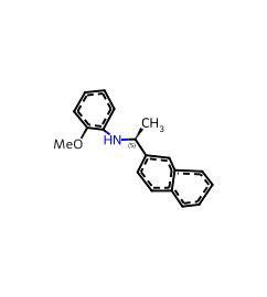 COc1ccccc1N[C@@H](C)c1ccc2ccccc2c1